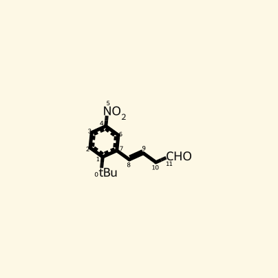 CC(C)(C)c1ccc([N+](=O)[O-])cc1/C=C/CC=O